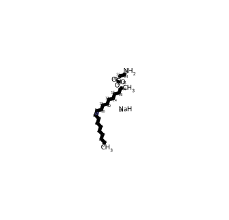 CCCCCCCC/C=C\CCCCCCCC(C)OS(=O)(=O)CCN.[NaH]